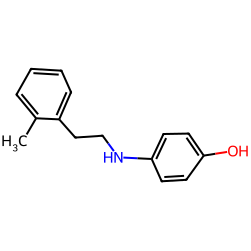 Cc1ccccc1CCNc1ccc(O)cc1